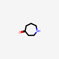 O=C1C[CH]NCCC1